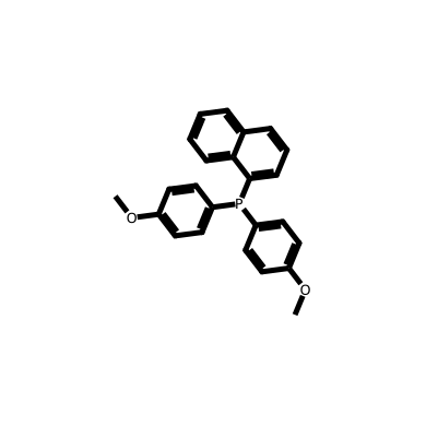 COc1ccc(P(c2ccc(OC)cc2)c2cccc3ccccc23)cc1